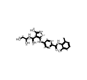 Cc1cccc(Cl)c1NC(=O)c1ncc(Nc2snc(O)c2C(=N)NC(O)CO)cn1